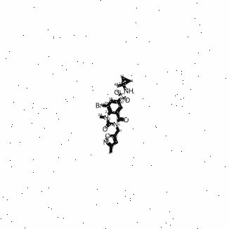 Cc1cc(Cn2c(=O)c3cc(S(=O)(=O)NC4(C)CC4)cc(Br)c3n(C)c2=O)on1